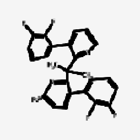 CC(C)(c1ncccc1-c1cccc(F)c1F)c1ncccc1-c1cccc(F)c1F.[Pt+2]